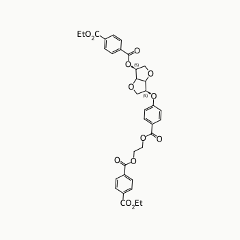 CCOC(=O)c1ccc(C(=O)OCCOC(=O)c2ccc(O[C@H]3COC4C3OC[C@@H]4OC(=O)c3ccc(C(=O)OCC)cc3)cc2)cc1